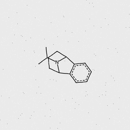 CC(C)N1C2CCCC1c1ccccc12